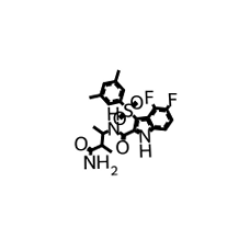 Cc1cc(C)cc(S(=O)(=O)c2c(C(=O)NC(C)C(C)C(N)=O)[nH]c3ccc(F)c(F)c23)c1